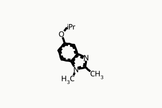 Cc1nc2cc(OC(C)C)ccc2n1C